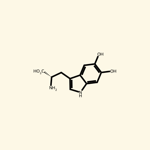 N[C@@H](Cc1c[nH]c2cc(O)c(O)cc12)C(=O)O